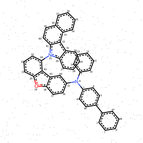 c1ccc(-c2ccc(N(c3ccccc3)c3ccc4oc5cccc(-n6c7ccccc7c7c8ccccc8ccc76)c5c4c3)cc2)cc1